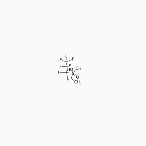 CCS(=O)(O)(O)C(F)(F)C(F)(F)C(F)(F)F